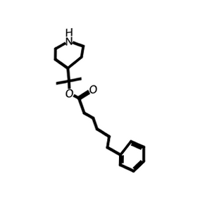 CC(C)(OC(=O)CCCCCc1ccccc1)C1CCNCC1